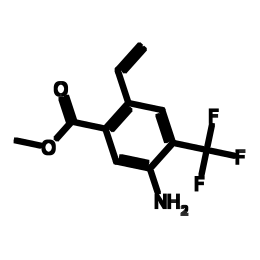 C=Cc1cc(C(F)(F)F)c(N)cc1C(=O)OC